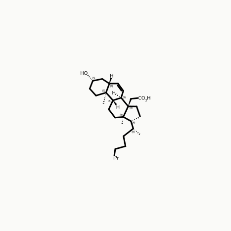 CC(C)CCC[C@@H](C)[C@H]1CC[C@@]2(CC(=O)O)[C@@H]3C=C[C@H]4C[C@@H](O)CC[C@]4(C)[C@H]3CC[C@]12C